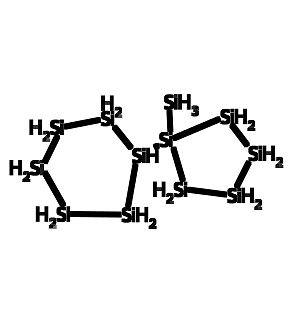 [SiH3][Si]1([SiH]2[SiH2][SiH2][SiH2][SiH2][SiH2]2)[SiH2][SiH2][SiH2][SiH2]1